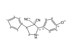 N#CC1(C#N)C(c2ccccc2)CNC1c1ccc(Cl)cc1